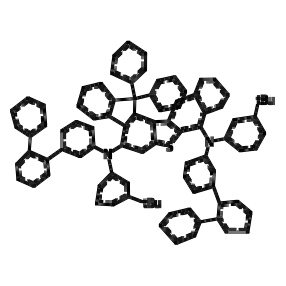 CC(C)(C)c1cccc(N(c2cccc(-c3ccccc3-c3ccccc3)c2)c2cc3sc4c(N(c5cccc(-c6ccccc6-c6ccccc6)c5)c5cccc(C(C)(C)C)c5)c5ccccc5cc4c3c3c2-c2ccccc2C3(c2ccccc2)c2ccccc2)c1